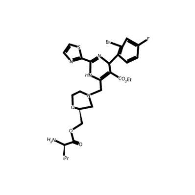 CCOC(=O)C1=C(CN2CCO[C@H](COC(=O)[C@H](N)C(C)C)C2)NC(c2nccs2)=NC1c1ccc(F)cc1Br